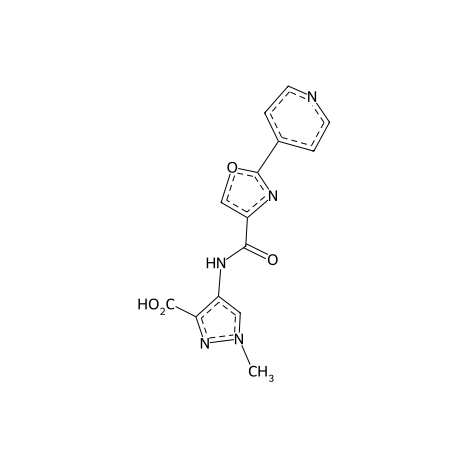 Cn1cc(NC(=O)c2coc(-c3ccncc3)n2)c(C(=O)O)n1